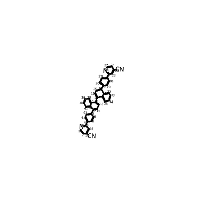 N#Cc1ccnc(-c2ccc(-c3ccc(-c4ccc(-c5ccc(-c6cc(C#N)ccn6)cc5)c5ccccc45)c4ccccc34)cc2)c1